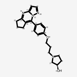 O[C@@H]1CCN(CCCOc2ccc(-c3c4c(nc5ccnn35)CCC4)cc2)C1